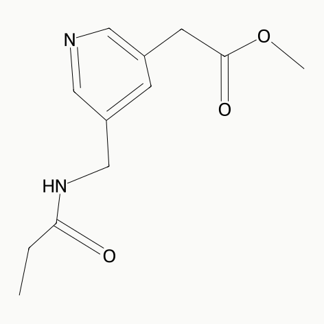 CCC(=O)NCc1cncc(CC(=O)OC)c1